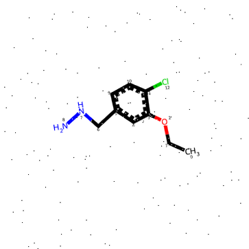 CCOc1cc(CNN)ccc1Cl